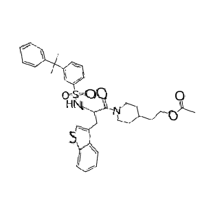 CC(=O)OCCC1CCN(C(=O)C(Cc2csc3ccccc23)NS(=O)(=O)c2cccc(C(C)(C)c3ccccc3)c2)CC1